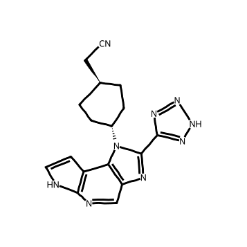 N#CC[C@H]1CC[C@H](n2c(-c3nn[nH]n3)nc3cnc4[nH]ccc4c32)CC1